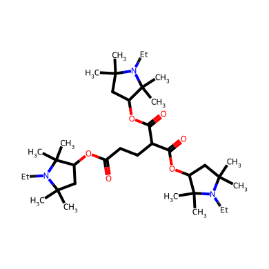 CCN1C(C)(C)CC(OC(=O)CCC(C(=O)OC2CC(C)(C)N(CC)C2(C)C)C(=O)OC2CC(C)(C)N(CC)C2(C)C)C1(C)C